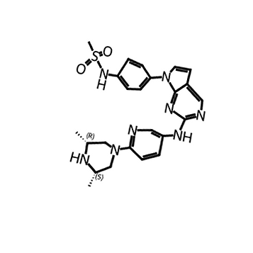 C[C@@H]1CN(c2ccc(Nc3ncc4ccn(-c5ccc(NS(C)(=O)=O)cc5)c4n3)cn2)C[C@H](C)N1